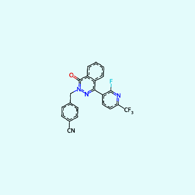 N#Cc1ccc(Cn2nc(-c3ccc(C(F)(F)F)nc3F)c3ccccc3c2=O)cc1